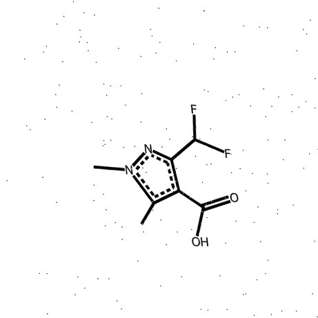 Cc1c(C(=O)O)c(C(F)F)nn1C